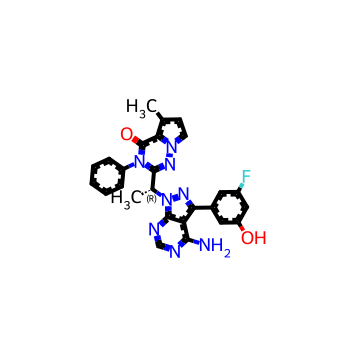 Cc1ccn2nc([C@@H](C)n3nc(-c4cc(O)cc(F)c4)c4c(N)ncnc43)n(-c3ccccc3)c(=O)c12